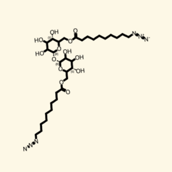 [N-]=[N+]=NCCCCCCCCCC(=O)OCC1O[C@H](O[C@H]2OC(COC(=O)CCCCCCCCCN=[N+]=[N-])[C@@H](O)C(O)C2O)C(O)C(O)[C@@H]1O